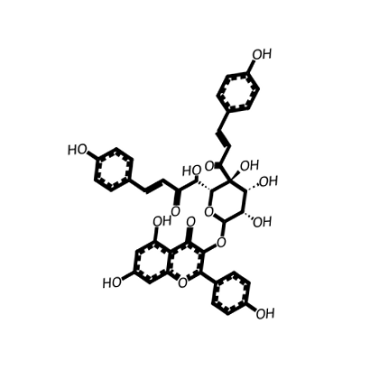 O=C(C=Cc1ccc(O)cc1)C(O)[C@H]1OC(Oc2c(-c3ccc(O)cc3)oc3cc(O)cc(O)c3c2=O)[C@@H](O)[C@@H](O)[C@@]1(O)C(=O)C=Cc1ccc(O)cc1